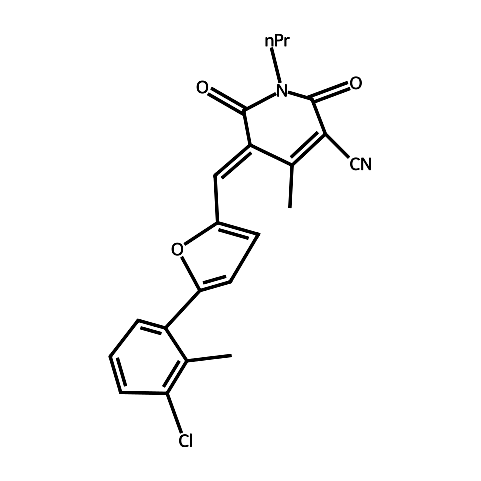 CCCN1C(=O)C(C#N)=C(C)/C(=C\c2ccc(-c3cccc(Cl)c3C)o2)C1=O